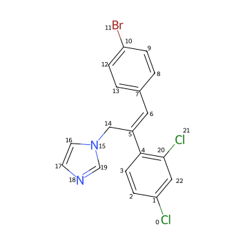 Clc1ccc(C(=Cc2ccc(Br)cc2)Cn2ccnc2)c(Cl)c1